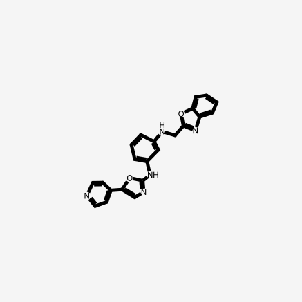 c1cc(NCc2nc3ccccc3o2)cc(Nc2ncc(-c3ccncc3)o2)c1